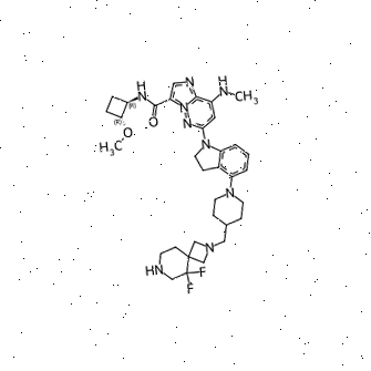 CNc1cc(N2CCc3c(N4CCC(CN5CC6(CCNCC6(F)F)C5)CC4)cccc32)nn2c(C(=O)N[C@@H]3CC[C@H]3OC)cnc12